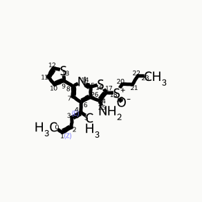 C/C=C\C=C(/C)c1cc(-c2cccs2)nc2sc([S+]([O-])CCCC)c(N)c12